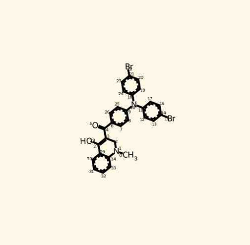 CN1CC(C(=O)c2ccc(N(c3ccc(Br)cc3)c3ccc(Br)cc3)cc2)=C(O)c2ccccc21